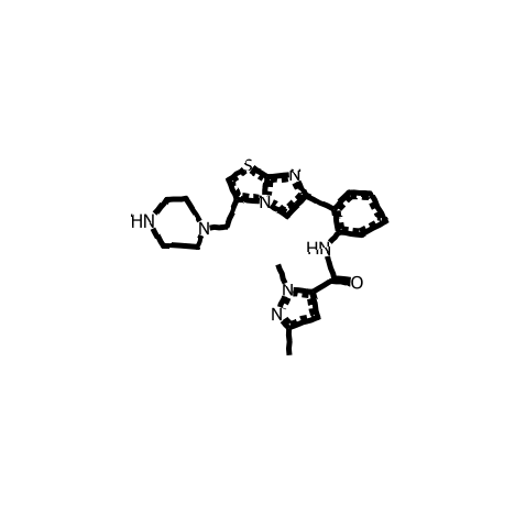 Cc1cc(C(=O)Nc2ccccc2-c2cn3c(CN4CCNCC4)csc3n2)n(C)n1